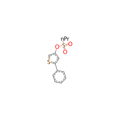 CCCS(=O)(=O)Oc1csc(-c2ccccc2)c1